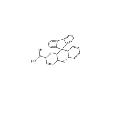 OB(O)C1=CC2C(C=C1)SC1C=CC=CC1C21c2ccccc2-c2ccccc21